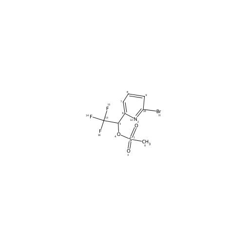 CS(=O)(=O)OC(c1cccc(Br)n1)C(F)(F)F